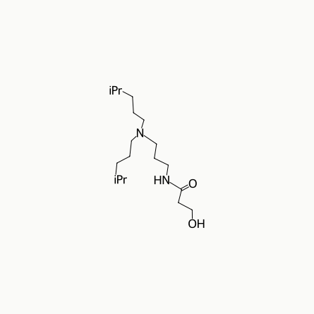 CC(C)CCCN(CCCNC(=O)CCO)CCCC(C)C